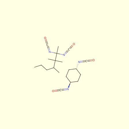 CCCC(C)C(C)(C)C(C)(N=C=O)N=C=O.O=C=N[C@H]1CC[C@H](N=C=O)CC1